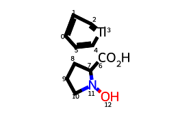 C1=C[CH]=[Tl][CH]=C1.O=C(O)C1CCCN1O